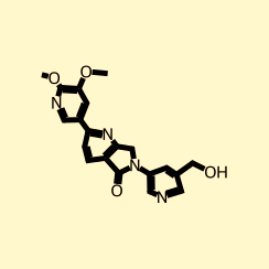 COc1cc(-c2ccc3c(n2)CN(c2cncc(CO)c2)C3=O)cnc1OC